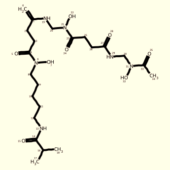 C=C(CCC(=O)N(O)CCCCCNC(=O)C(C)C)NCN(O)C(=O)CCC(=O)NCN(O)C(C)=O